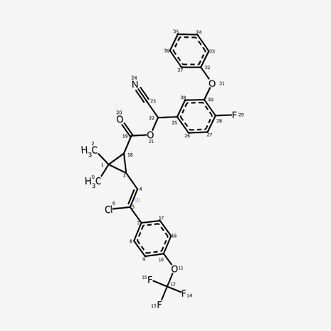 CC1(C)C(/C=C(\Cl)c2ccc(OC(F)(F)F)cc2)C1C(=O)OC(C#N)c1ccc(F)c(Oc2ccccc2)c1